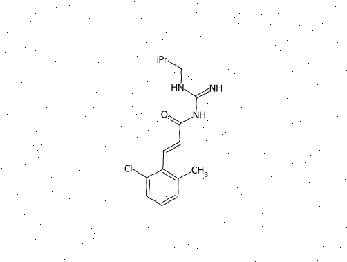 Cc1cccc(Cl)c1C=CC(=O)NC(=N)NCC(C)C